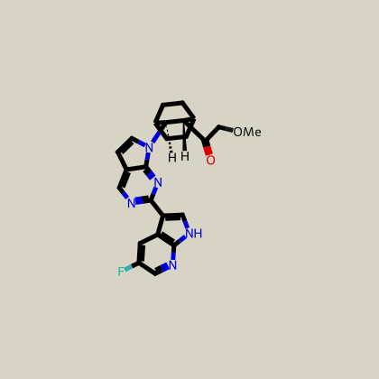 COCC(=O)[C@H]1C2CCC(CC2)[C@@H]1n1ccc2cnc(-c3c[nH]c4ncc(F)cc34)nc21